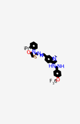 CC(C)c1ccccc1N1C(=O)CS/C1=N\N=C\c1ccc2c(NC(=N)c3ccc(OC(F)(F)F)cc3)cn(C)c2c1